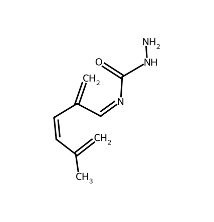 C=C(C)/C=C\C(=C)/C=N\C(=O)NN